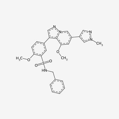 COc1ccc(-c2cnn3cc(-c4cnn(C)c4)cc(OC)c23)cc1S(=O)(=O)NCc1ccccc1